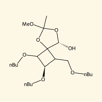 CCCCOCC1[C@@H](OCCCC)C(OCCCC)C12OC(C)(OC)O[C@@H]2O